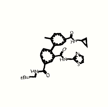 Cc1ccc(C(=O)NC2CC2)cc1-c1ccc(C(=O)NCC(C)(C)C)cc1C(=O)Nc1nccs1